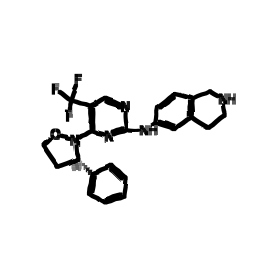 FC(F)(F)c1cnc(Nc2ccc3c(c2)CCNC3)nc1N1OCC[C@H]1c1ccccc1